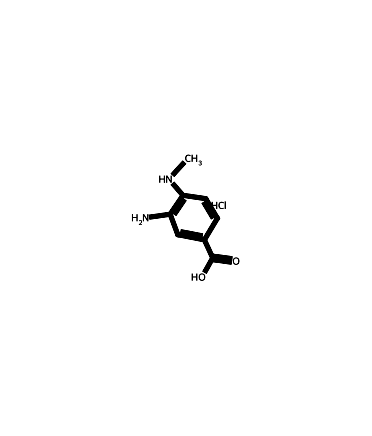 CNc1ccc(C(=O)O)cc1N.Cl